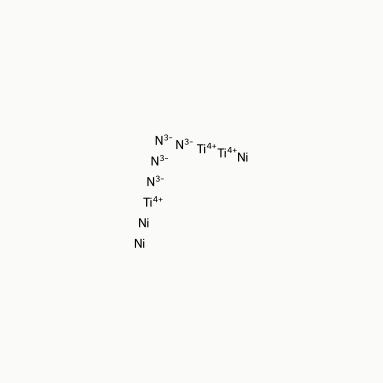 [N-3].[N-3].[N-3].[N-3].[Ni].[Ni].[Ni].[Ti+4].[Ti+4].[Ti+4]